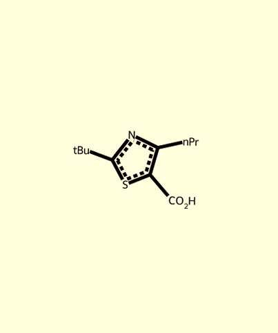 CCCc1nc(C(C)(C)C)sc1C(=O)O